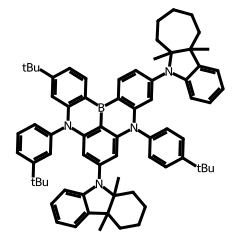 CC(C)(C)c1ccc(N2c3cc(N4c5ccccc5C5(C)CCCCCC45C)ccc3B3c4ccc(C(C)(C)C)cc4N(c4cccc(C(C)(C)C)c4)c4cc(N5c6ccccc6C6(C)CCCCC56C)cc2c43)cc1